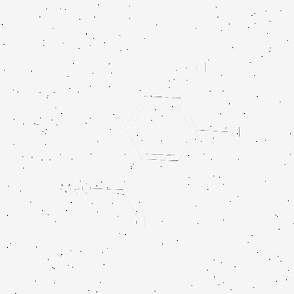 COC(Cl)c1ccc(Cl)c(Cl)c1